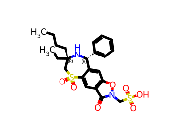 CCCC[C@]1(CC)CS(=O)(=O)c2cc3c(=O)n(CS(=O)(=O)O)oc3cc2[C@@H](c2ccccc2)N1